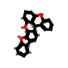 c1ccc2c(c1)Oc1cccc3c1B2c1ccc2c(oc4ccccc42)c1O3